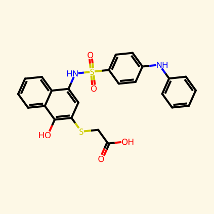 O=C(O)CSc1cc(NS(=O)(=O)c2ccc(Nc3ccccc3)cc2)c2ccccc2c1O